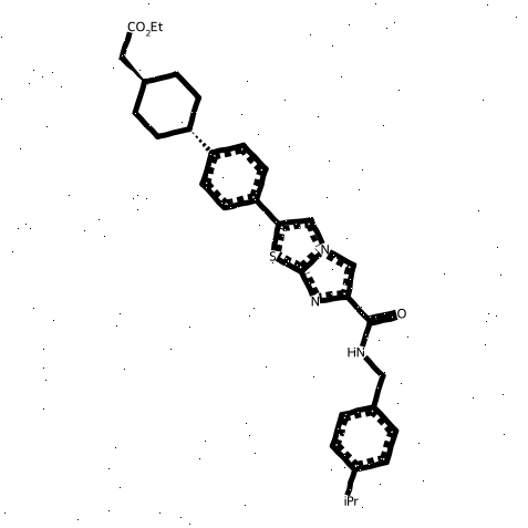 CCOC(=O)C[C@H]1CC[C@H](c2ccc(-c3cn4cc(C(=O)NCc5ccc(C(C)C)cc5)nc4s3)cc2)CC1